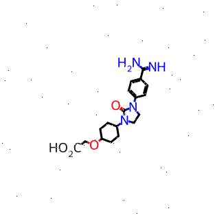 N=C(N)c1ccc(N2CCN(C3CCC(OCC(=O)O)CC3)C2=O)cc1